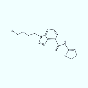 O=C(NC1=NCCS1)c1cccc2c1ncn2CCCCCl